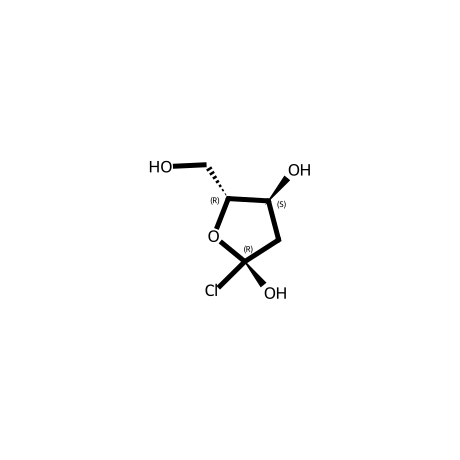 OC[C@H]1O[C@@](O)(Cl)C[C@@H]1O